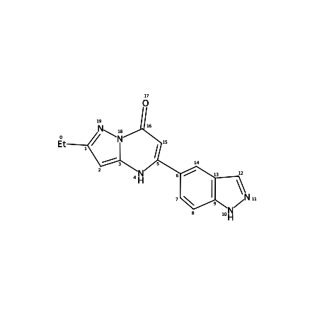 CCc1cc2[nH]c(-c3ccc4[nH]ncc4c3)cc(=O)n2n1